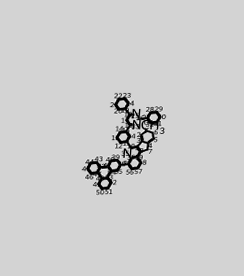 CC1C=C2C(=CC1)Cc1c2c(-c2cccc(-c3cc(-c4ccccc4)nc(-c4ccccc4)n3)c2)nc2c(-c3ccc4c5ccccc5c5ccccc5c4c3)cccc12